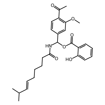 COc1cc(C(NC(=O)CCCC/C=C/C(C)C)OC(=O)c2ccccc2O)ccc1C(C)=O